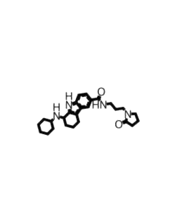 O=C(NCCCN1CCCC1=O)c1ccc2[nH]c3c(c2c1)CCCC3NC1CCCCC1